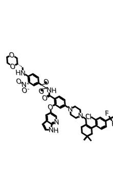 CC1(C)CCC(CN2CCN(c3ccc(C(=O)NS(=O)(=O)c4ccc(NC[C@H]5COCCO5)c([N+](=O)[O-])c4)c(Oc4cnc5[nH]ccc5c4)c3)CC2)=C(c2ccc(C(F)(F)F)cc2Cl)C1